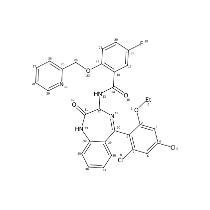 CCOc1cc(Cl)cc(Cl)c1C1=NC(NC(=O)c2cc(F)ccc2OCc2ccccn2)C(=O)Nc2ccccc21